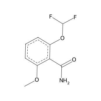 COc1cccc(OC(F)F)c1C(N)=O